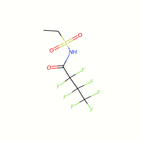 CCS(=O)(=O)NC(=O)C(F)(F)C(F)(F)C(F)(F)F